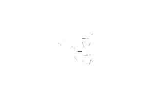 NC(=O)C(O)N(Cc1cccc([N+](=O)[O-])c1)c1ccc2cccnc2c1